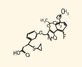 COc1ccc(F)c(-c2onc(COc3cccc(C(CC(=O)O)SC4CC4)c3)c2OC(C)C)c1